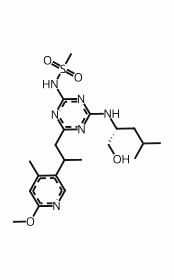 COc1cc(C)c(C(C)Cc2nc(N[C@@H](CO)CC(C)C)nc(NS(C)(=O)=O)n2)cn1